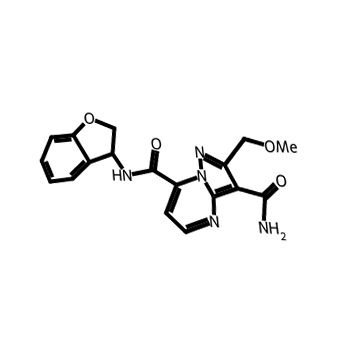 COCc1nn2c(C(=O)NC3COc4ccccc43)ccnc2c1C(N)=O